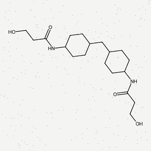 O=C(CCO)NC1CCC(CC2CCC(NC(=O)CCO)CC2)CC1